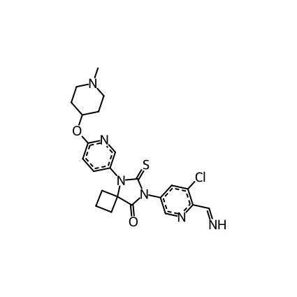 CN1CCC(Oc2ccc(N3C(=S)N(c4cnc(C=N)c(Cl)c4)C(=O)C34CCC4)cn2)CC1